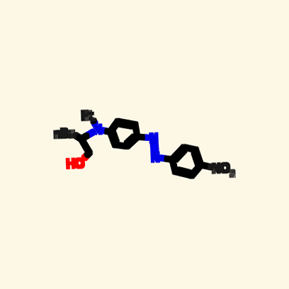 CCCCC(CO)N(CC)c1ccc(N=Nc2ccc([N+](=O)[O-])cc2)cc1